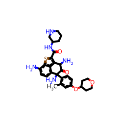 Cc1cc(OC2CCOCC2)ccc1C1(N)C(=O)C(N)c2c(C(=O)NC3CCCNC3)sc3c(N)ccc1c23